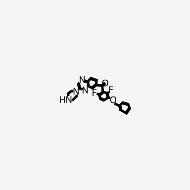 O=C(c1ccc2ncc(N3CCNCC3)nc2c1)c1c(F)ccc(OCc2ccccc2)c1F